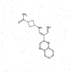 N=C/C(=C\NC1CC(C(N)=O)C1)c1cnc2ccccc2n1